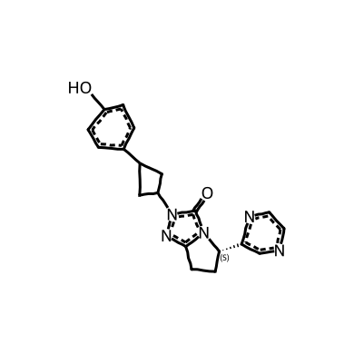 O=c1n(C2CC(c3ccc(O)cc3)C2)nc2n1[C@H](c1cnccn1)CC2